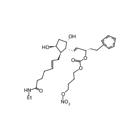 CCNC(=O)CCC/C=C/C[C@@H]1[C@@H](/C=C/[C@H](CCc2ccccc2)OC(=O)OCCCCO[N+](=O)[O-])[C@@H](O)C[C@@H]1O